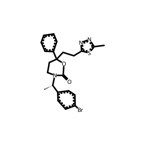 Cc1nnc(CCC2(c3ccccc3)CCN([C@@H](C)c3ccc(Br)cc3)C(=O)O2)s1